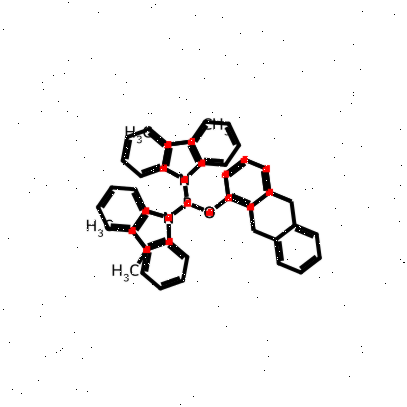 Cc1cn(P(Oc2cccc3c2C2c4ccccc4C3c3cccc(OP(n4cc(C)c5ccccc54)n4cc(C)c5ccccc54)c32)n2cc(C)c3ccccc32)c2ccccc12